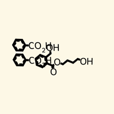 O=C(O)c1ccccc1.O=C(O)c1ccccc1.O=C(OCCCCO)c1ccccc1CO